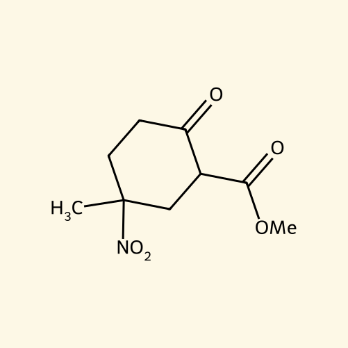 COC(=O)C1CC(C)([N+](=O)[O-])CCC1=O